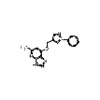 Nc1cc(OCc2cnn(-c3ccccc3)c2)c2nn[nH]c2n1